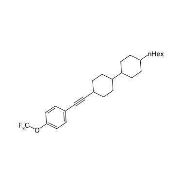 CCCCCCC1CCC(C2CCC(C#Cc3ccc(OC(F)(F)F)cc3)CC2)CC1